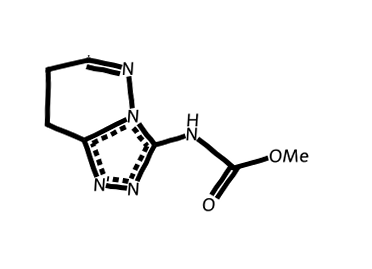 COC(=O)Nc1nnc2n1N=[C]CC2